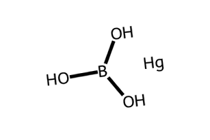 OB(O)O.[Hg]